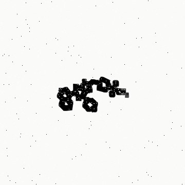 CS(=O)(=O)N1CCN(Cc2cc3c(N4CCOCC4)nc(-c4cncc5ccccc45)nc3s2)CC1